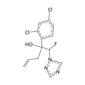 C=CCC(O)(c1ccc(Cl)cc1Cl)C(F)n1cncn1